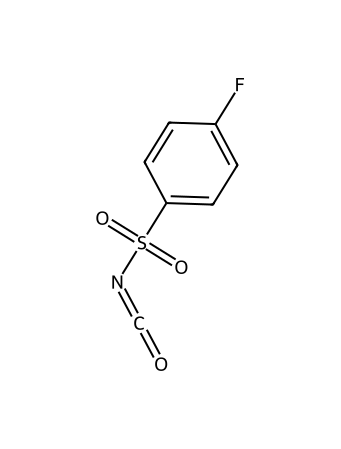 O=C=NS(=O)(=O)c1ccc(F)cc1